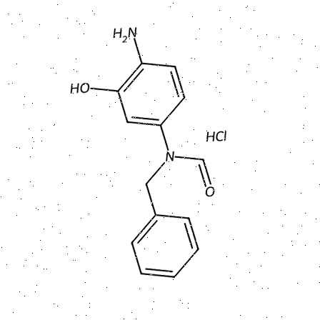 Cl.Nc1ccc(N(C=O)Cc2ccccc2)cc1O